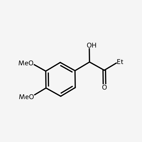 CCC(=O)C(O)c1ccc(OC)c(OC)c1